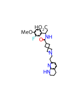 COc1ccc(C(CC(=O)O)NC(=O)C2CC3(C2)CN(CCc2ccc4c(n2)NCCC4)C3)cc1F